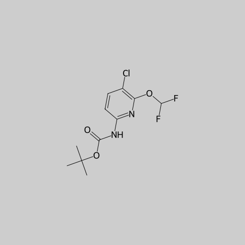 CC(C)(C)OC(=O)Nc1ccc(Cl)c(OC(F)F)n1